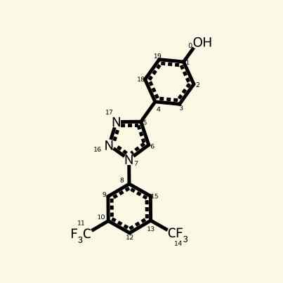 Oc1ccc(-c2cn(-c3cc(C(F)(F)F)cc(C(F)(F)F)c3)nn2)cc1